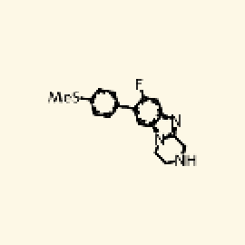 CSc1ccc(-c2cc3c(cc2F)nc2n3CCNC2)cc1